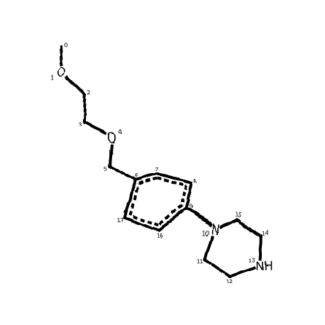 COCCOCc1ccc(N2CCNCC2)cc1